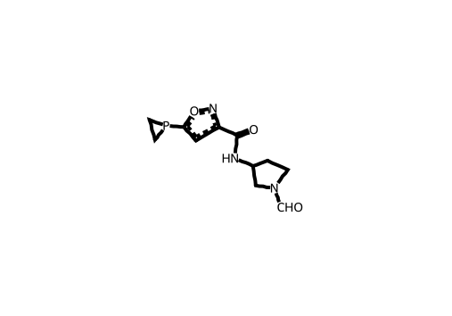 O=CN1CCC(NC(=O)c2cc(P3CC3)on2)C1